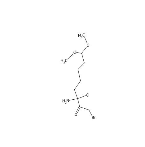 COC(CCCCC(N)(Cl)C(=O)CBr)OC